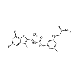 Cc1c([C@@H](NC(=O)Nc2cc(F)cc(NCC(N)=O)c2)C(F)(F)F)oc2c(F)cc(F)cc12